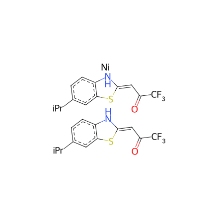 CC(C)c1ccc2c(c1)SC(=CC(=O)C(F)(F)F)N2.CC(C)c1ccc2c(c1)SC(=CC(=O)C(F)(F)F)N2.[Ni]